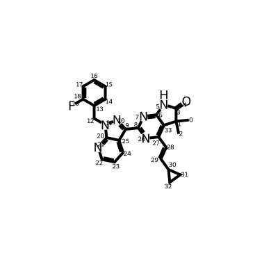 CC1(C)C(=O)Nc2nc(-c3nn(Cc4ccccc4F)c4ncccc34)nc(C=CC3CC3)c21